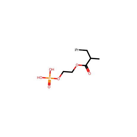 CC(C)CC(C)C(=O)OCCOP(=O)(O)O